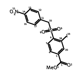 COC(=O)c1ccc(S(=O)(=O)Cc2ccc([N+](=O)[O-])cc2)c(I)c1